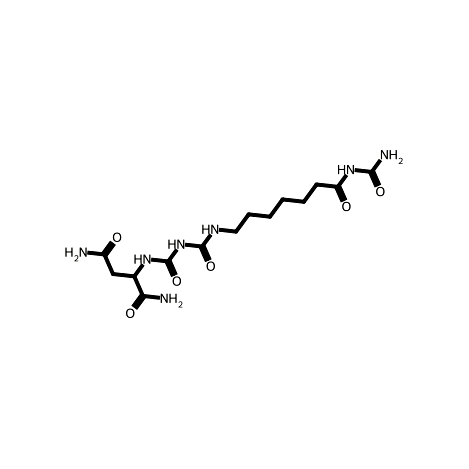 NC(=O)CC(NC(=O)NC(=O)NCCCCCCC(=O)NC(N)=O)C(N)=O